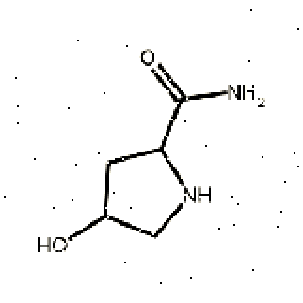 NC(=O)C1CC(O)CN1